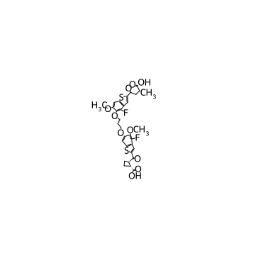 COc1cc2sc(C(=O)CC(C)C(=O)O)cc2c(F)c1OCCCOc1cc2sc(C(=O)[C@@H]3CC[C@H]3C(=O)O)cc2c(F)c1OC